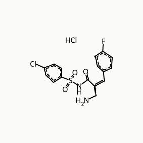 Cl.NCC(=Cc1ccc(F)cc1)C(=O)NS(=O)(=O)c1ccc(Cl)cc1